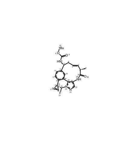 C[C@@H]1/C=C/C[C@H](NC(=O)OC(C)(C)C)c2ccc(C3C=N3)c(c2)-c2c(cnn2C(F)F)NC1=O